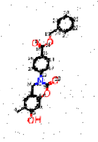 Cc1cc2c(cc1O)OC(=O)N(c1ccc(C(=O)OCc3ccccc3)cc1)C2